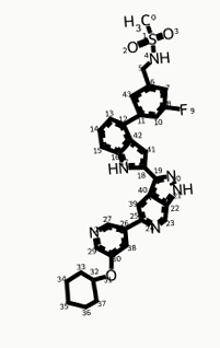 CS(=O)(=O)NCc1cc(F)cc(-c2cccc3[nH]c(-c4n[nH]c5cnc(-c6cncc(OC7CCCCC7)c6)cc45)cc23)c1